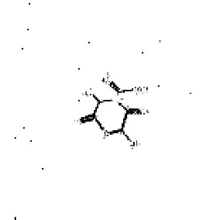 C=CC(=O)O.CC1OC(=O)C(C)OC1=O